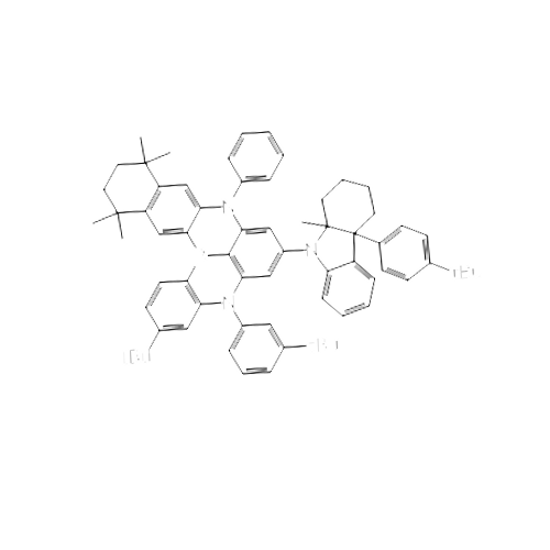 CC(C)(C)c1ccc(C23CCCCC2(C)N(c2cc4c5c(c2)N(c2ccccc2)c2cc6c(cc2B5c2ccc(C(C)(C)C)cc2N4c2cccc(C(C)(C)C)c2)C(C)(C)CCC6(C)C)c2ccccc23)cc1